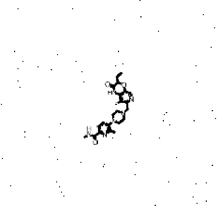 CCC1Oc2cnc(CN3CCN(c4ccc(C(=O)NC)nc4C)CC3)c(F)c2NC1=O